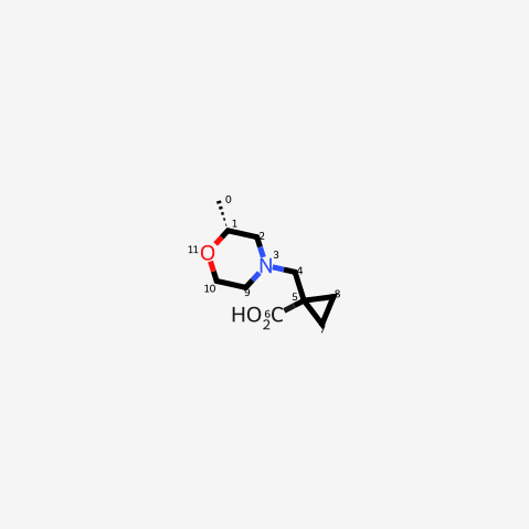 C[C@@H]1CN(CC2(C(=O)O)CC2)CCO1